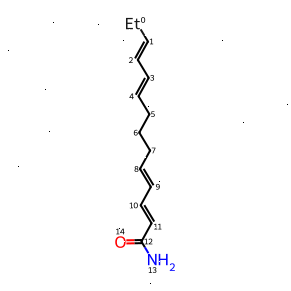 CCC=CC=CCCCC=CC=CC(N)=O